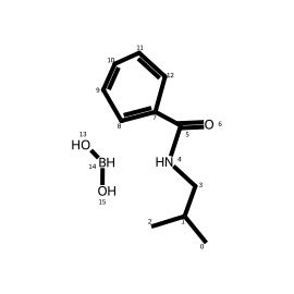 CC(C)CNC(=O)c1ccccc1.OBO